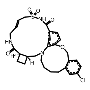 O=C1NS(=O)(=O)C/C=C/CNC(=O)[C@@H]2CC[C@H]2CN2CCCCc3cc(Cl)ccc3COc3ccc1cc32